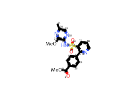 COC(=O)c1ccc(-c2ncccc2S(=O)(=O)Nc2ncc(C)nc2OC)cc1